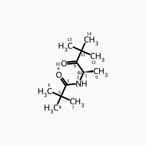 C[C@@H](NC(=O)C(C)(C)C)C(=O)C(C)(C)C